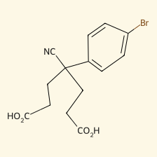 N#CC(CCC(=O)O)(CCC(=O)O)c1ccc(Br)cc1